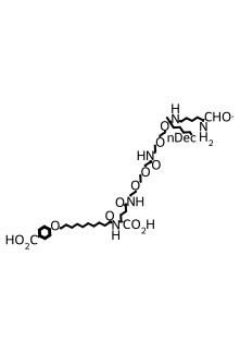 CCCCCCCCCCCCCCC(C)(NCCCC[C@H](N)[C]=O)OCCOCCNC(=O)COCCOCCNC(=O)CC[C@H](NC(=O)CCCCCCCCCOc1ccc(C(=O)O)cc1)C(=O)O